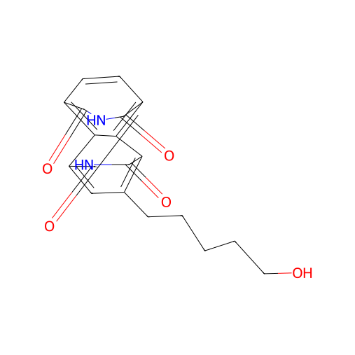 O=c1[nH]c(=O)c2ccc1c1c3cc(CCCCCO)c(c(=O)[nH]c3=O)c21